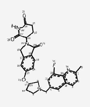 Cc1ccc2cc(CN3CC[C@H](Oc4ccc5c(c4)CN(C4CCC(=O)NC4=O)C5=O)C3)cc(F)c2n1